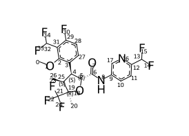 COc1c([C@H]2[C@H](C(=O)Nc3ccc(C(F)F)nc3)O[C@@](C)(C(F)(F)F)[C@H]2C)ccc(F)c1C(F)F